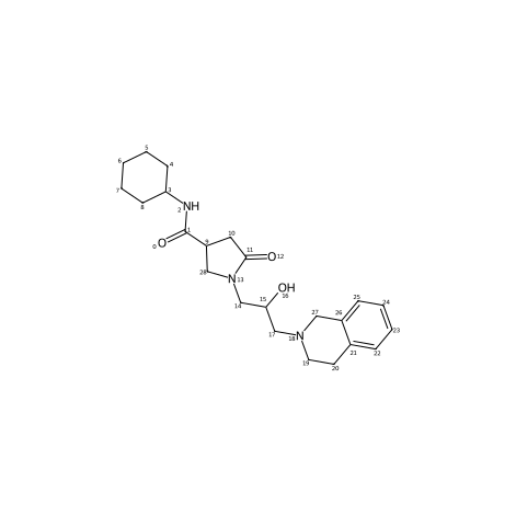 O=C(NC1CCCCC1)C1CC(=O)N(CC(O)CN2CCc3ccccc3C2)C1